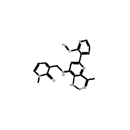 CCOc1ncccc1-c1cc(NCc2cccn(C)c2=O)c(NC(C)C)c(C(C)=N)n1